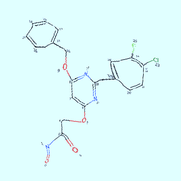 O=NC(=O)COc1cc(OCc2ccccc2)nc(-c2ccc(Cl)c(F)c2)n1